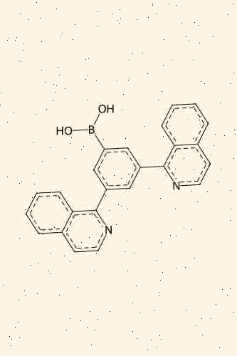 OB(O)c1cc(-c2nccc3ccccc23)cc(-c2nccc3ccccc23)c1